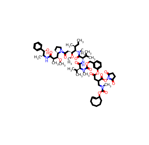 CC[C@H](C)[C@@H]([C@@H](CC(=O)N1CCC[C@H]1[C@H](OC)[C@@H](C)C(=O)N[C@H](C)[C@@H](O)c1ccccc1)OC)N(C)C(=O)[C@@H](NC(=O)[C@H](C(C)C)N(C)C(=O)OCc1cccc(OC(=O)CC(CN(C)C(=O)OC2/C=C/CCCCC2)C(=O)ON2C(=O)CCC2=O)c1)C(C)C